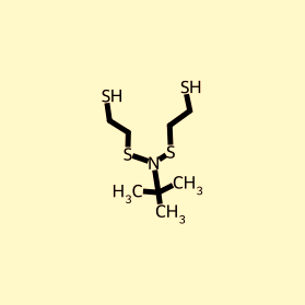 CC(C)(C)N(SCCS)SCCS